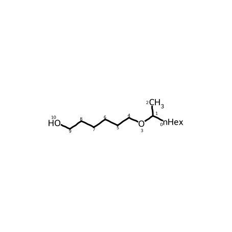 CCCCCCC(C)OCCCCCCO